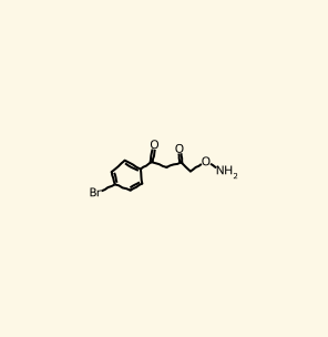 NOCC(=O)CC(=O)c1ccc(Br)cc1